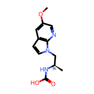 COc1cnc2c(ccn2C[C@@H](C)NC(=O)O)c1